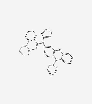 c1ccc(N2c3ccccc3Oc3cc(N(c4ccccc4)c4cc5ccccc5c5ccccc45)ccc32)cc1